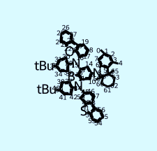 Cc1cc(C)c2c(c1)N(c1cc3c4c(c1)N(c1cccc5c1oc1ccccc15)c1ccc(C(C)(C)C)cc1B4c1cc(C(C)(C)C)ccc1N3c1ccc3c(c1)sc1ccccc13)C1(C)CCCCC21C